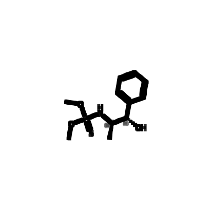 COP(=S)(N[C@H](C)[C@@H](O)c1ccccc1)OC